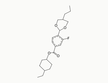 CCCC1COC(c2ccc(C(=O)OC3CCC(CC)CC3)cc2F)OC1